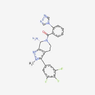 Cn1nc2c(c1-c1cc(F)c(F)c(F)c1)CCN(C(=O)c1ccccc1-n1cnnc1)[C@H]2N